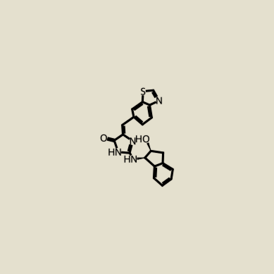 O=C1NC(N[C@@H]2c3ccccc3C[C@@H]2O)=N/C1=C\c1ccc2ncsc2c1